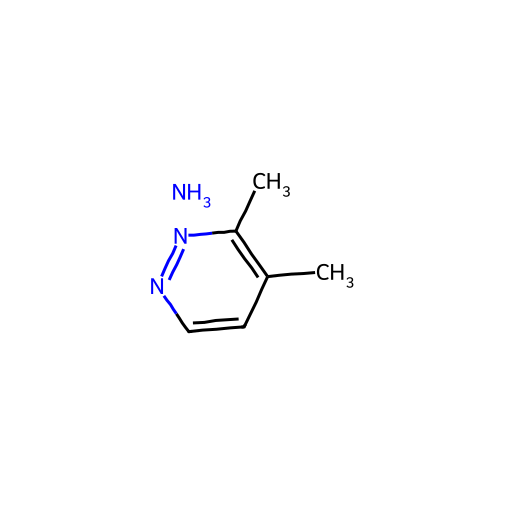 Cc1ccnnc1C.N